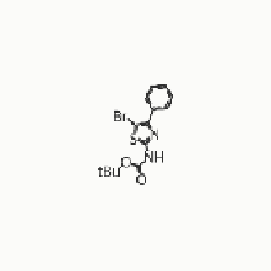 CC(C)(C)OC(=O)Nc1nc(-c2ccccc2)c(Br)s1